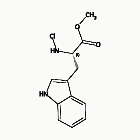 COC(=O)[C@H](Cc1c[nH]c2ccccc12)NCl